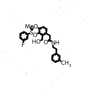 COc1ccc(CC(=O)NCCc2cccc(C)c2)c(CO)c1OS(=O)c1cccc(F)c1